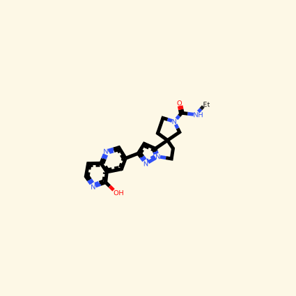 CCNC(=O)N1CCC2(CCn3nc(-c4cnc5ccnc(O)c5c4)cc32)C1